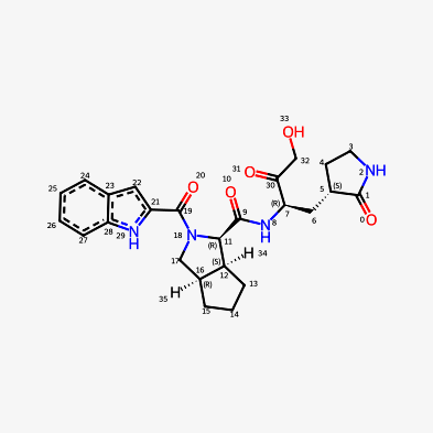 O=C1NCC[C@H]1C[C@@H](NC(=O)[C@H]1[C@H]2CCC[C@H]2CN1C(=O)c1cc2ccccc2[nH]1)C(=O)CO